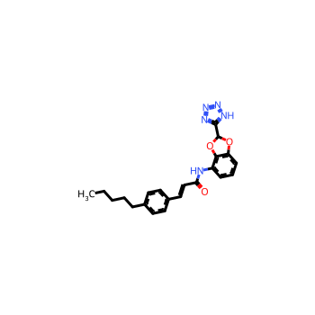 CCCCCc1ccc(C=CC(=O)Nc2cccc3c2OC(c2nnn[nH]2)O3)cc1